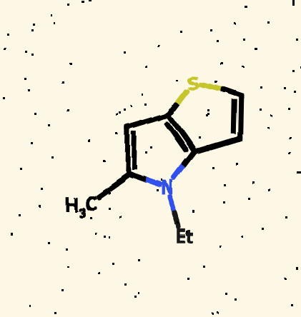 CCn1c(C)cc2sccc21